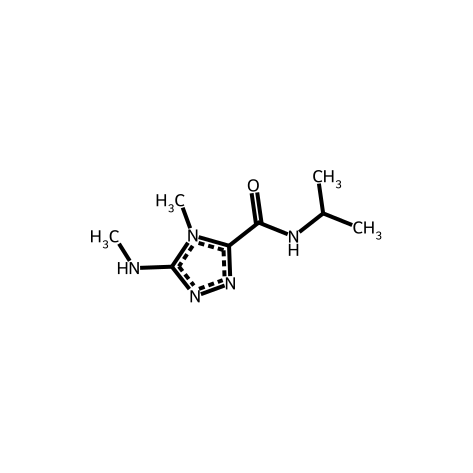 CNc1nnc(C(=O)NC(C)C)n1C